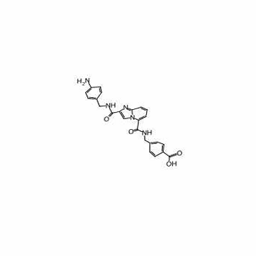 Nc1ccc(CNC(=O)c2cn3c(C(=O)NCc4ccc(C(=O)O)cc4)cccc3n2)cc1